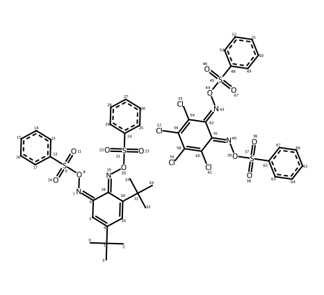 CC(C)(C)C1=CC(=NOS(=O)(=O)c2ccccc2)C(=NOS(=O)(=O)c2ccccc2)C(C(C)(C)C)=C1.O=S(=O)(ON=C1C(=NOS(=O)(=O)c2ccccc2)C(Cl)=C(Cl)C(Cl)=C1Cl)c1ccccc1